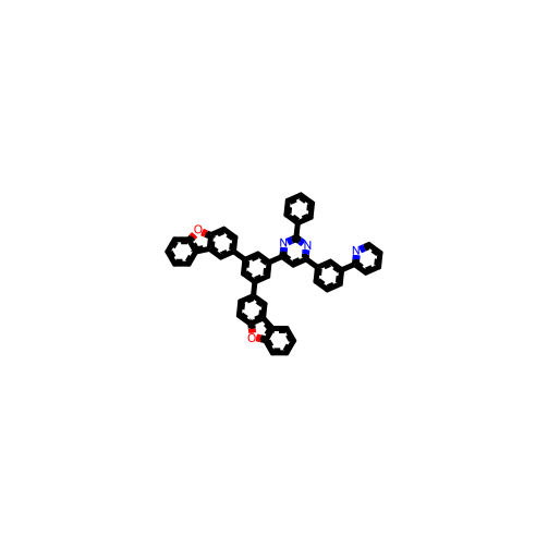 c1ccc(-c2nc(-c3cc(-c4ccc5oc6ccccc6c5c4)cc(-c4ccc5oc6ccccc6c5c4)c3)cc(-c3cccc(-c4ccccn4)c3)n2)cc1